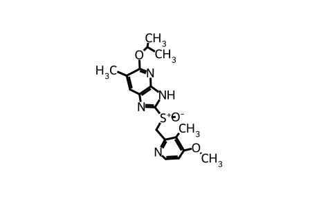 COc1ccnc(C[S+]([O-])c2nc3cc(C)c(OC(C)C)nc3[nH]2)c1C